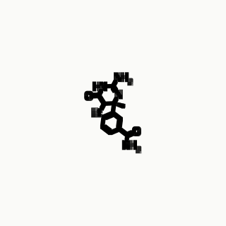 CCC1C(=O)NC(N)=N[C@]1(C)c1cccc(C(N)=O)c1